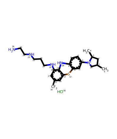 CC1CC(C)N(c2ccc3c(c2)Sc2cc(C(F)(F)F)cc(NCCCNCCN)c2N3)C1.Cl